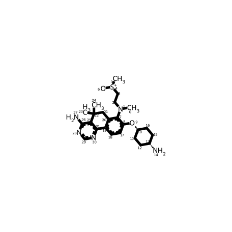 CN(CC[S+](C)[O-])c1c(O[C@H]2CC[C@@H](N)CC2)ccc2c1CC(C)(C)c1c(N)ncnc1-2